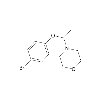 CC(Oc1ccc(Br)cc1)N1CCOCC1